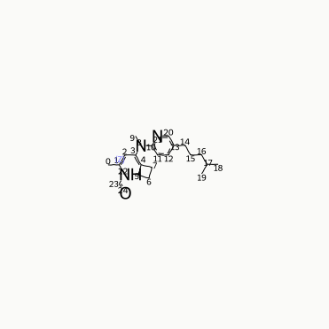 C/C(=C/C(=C1CCC1)N(C)c1ccc(CCCC(C)C)cn1)NC=O